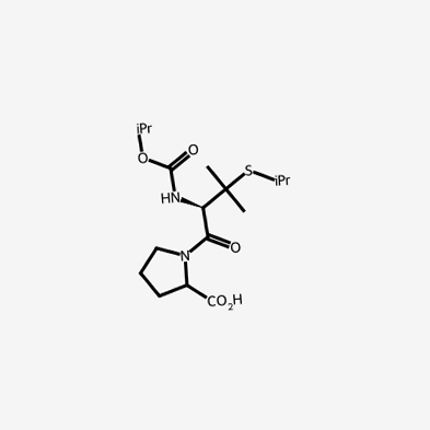 CC(C)OC(=O)N[C@H](C(=O)N1CCCC1C(=O)O)C(C)(C)SC(C)C